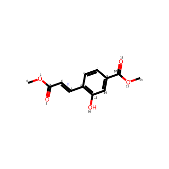 COC(=O)/C=C/c1ccc(C(=O)OC)cc1O